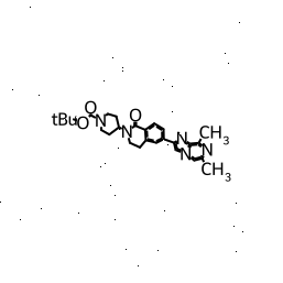 Cc1cn2cc(-c3ccc4c(c3)CCN(C3CCN(C(=O)OC(C)(C)C)CC3)C4=O)nc2c(C)n1